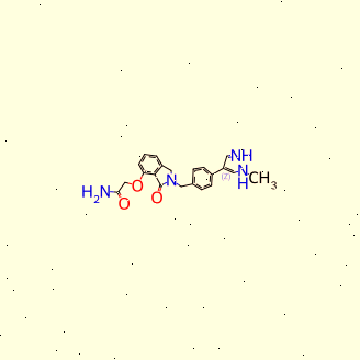 CN/C=C(\C=N)c1ccc(CN2Cc3cccc(OCC(N)=O)c3C2=O)cc1